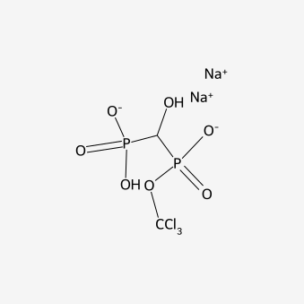 O=P([O-])(O)C(O)P(=O)([O-])OC(Cl)(Cl)Cl.[Na+].[Na+]